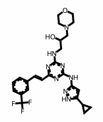 OC(CNc1nc(/C=C/c2cccc(C(F)(F)F)c2)nc(Nc2cc(C3CC3)[nH]n2)n1)CN1CCOCC1